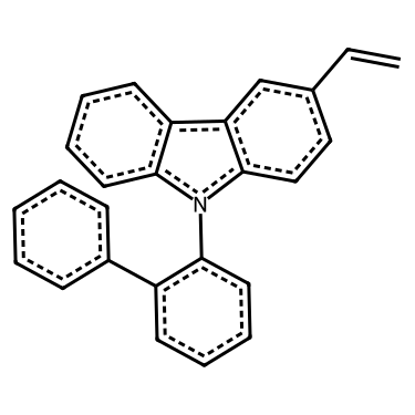 C=Cc1ccc2c(c1)c1ccccc1n2-c1ccccc1-c1ccccc1